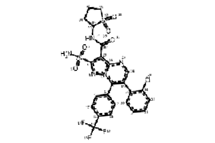 NS(=O)(=O)c1nn2c(-c3ccc(C(F)(F)F)cc3)c(-c3ccccc3Cl)cnc2c1C(=O)N[C@H]1CCCS1(=O)=O